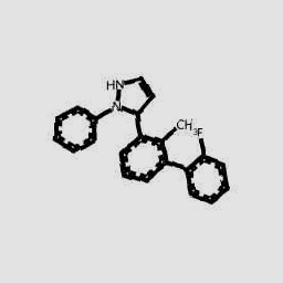 Cc1c(-c2ccccc2F)cccc1C1C=CNN1c1ccccc1